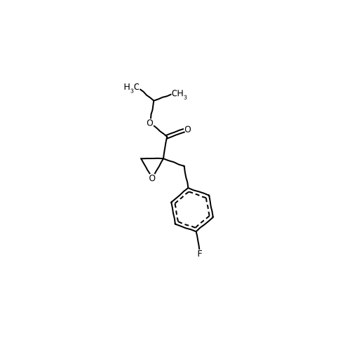 CC(C)OC(=O)C1(Cc2ccc(F)cc2)CO1